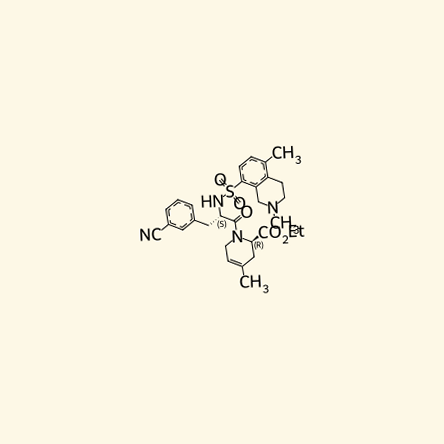 CCOC(=O)[C@H]1CC(C)=CCN1C(=O)[C@H](Cc1cccc(C#N)c1)NS(=O)(=O)c1ccc(C)c2c1CN(C)CC2